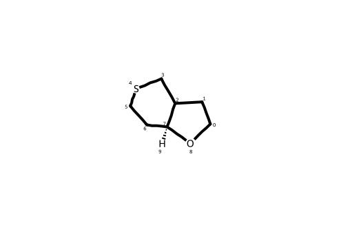 C1CC2CSCC[C@@H]2O1